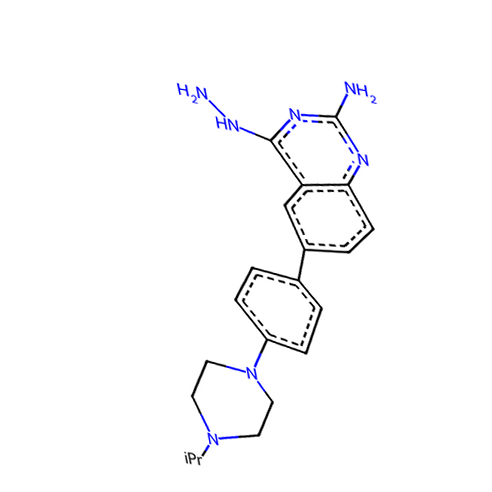 CC(C)N1CCN(c2ccc(-c3ccc4nc(N)nc(NN)c4c3)cc2)CC1